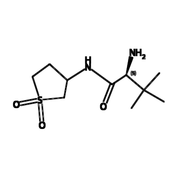 CC(C)(C)[C@H](N)C(=O)NC1CCS(=O)(=O)C1